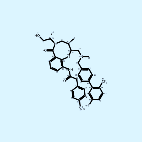 C[C@@H]1CN([C@@H](C)CO)C(=O)c2cccc(NC(=O)Cc3ccc(C(F)(F)F)cc3)c2O[C@@H]1CN(C)Cc1ccc(-c2cc(F)ccc2C(F)(F)F)cc1